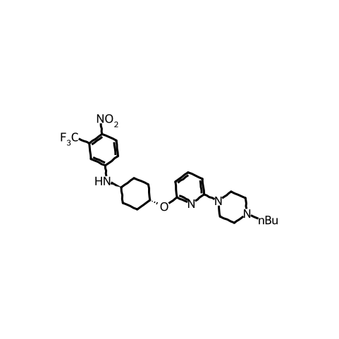 CCCCN1CCN(c2cccc(O[C@H]3CC[C@H](Nc4ccc([N+](=O)[O-])c(C(F)(F)F)c4)CC3)n2)CC1